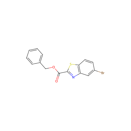 O=C(OCc1ccccc1)c1nc2cc(Br)ccc2s1